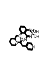 NC1=NS(O)(O)Nc2cccc(OCC3CCCCN3C(=O)Cc3ccncc3)c21